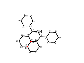 C1CCC(C(NC(C2CCCCC2)C2CCCCC2)C2CCCCC2)CC1